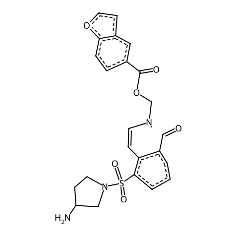 CN(/C=C\c1c(C=O)cccc1S(=O)(=O)N1CCC(N)C1)COC(=O)c1ccc2occc2c1